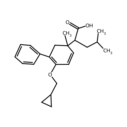 CC(C)CC(C(=O)O)C1(C)C=CC(OCC2CC2)=C(c2ccccc2)C1